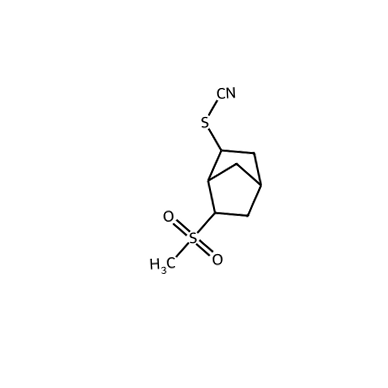 CS(=O)(=O)C1CC2CC(SC#N)C1C2